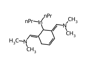 CC[CH2][In]([CH2]CC)[CH]1C(=CN(C)C)C=CCC1=CN(C)C